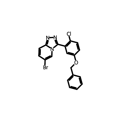 Clc1ccc(OCc2ccccc2)cc1-c1nnc2ccc(Br)cn12